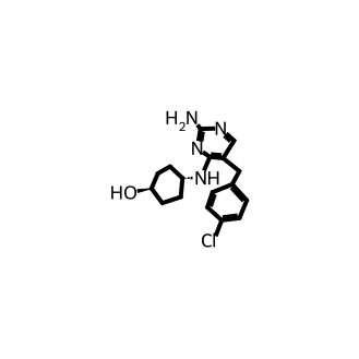 Nc1ncc(Cc2ccc(Cl)cc2)c(N[C@H]2CC[C@H](O)CC2)n1